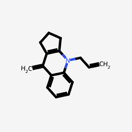 C=CCN1C2=C(CCC2)C(=C)c2ccccc21